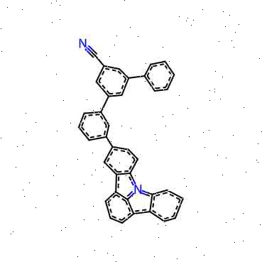 N#Cc1cc(-c2ccccc2)cc(-c2cccc(-c3ccc4c(c3)c3cccc5c6ccccc6n4c53)c2)c1